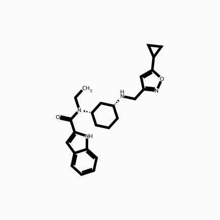 CCN(C(=O)c1cc2ccccc2[nH]1)[C@H]1CCC[C@@H](NCc2cc(C3CC3)on2)C1